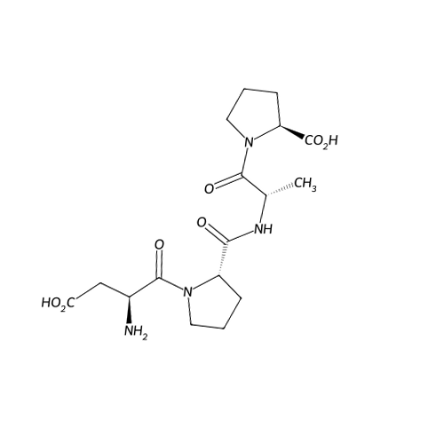 C[C@H](NC(=O)[C@@H]1CCCN1C(=O)[C@@H](N)CC(=O)O)C(=O)N1CCC[C@H]1C(=O)O